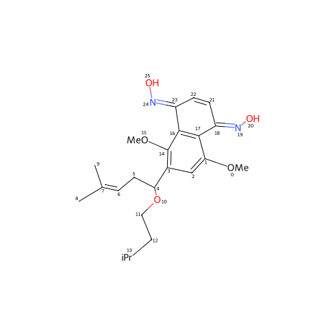 COc1cc(C(CC=C(C)C)OCCC(C)C)c(OC)c2c1C(=NO)C=CC2=NO